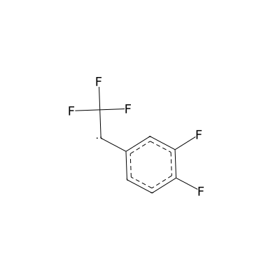 Fc1ccc([CH]C(F)(F)F)cc1F